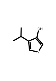 CC(C)c1cscc1O